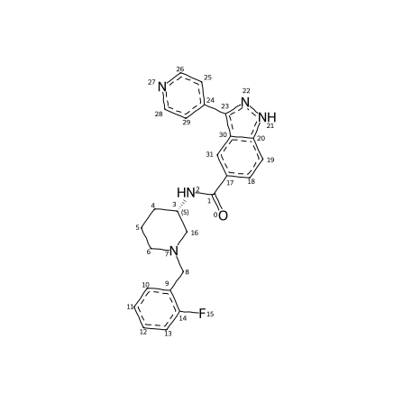 O=C(N[C@H]1CCCN(Cc2ccccc2F)C1)c1ccc2[nH]nc(-c3ccncc3)c2c1